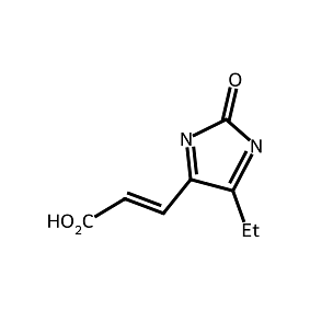 CCC1=NC(=O)N=C1C=CC(=O)O